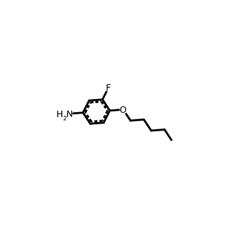 CCCCCOc1ccc(N)cc1F